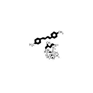 CC=C(C)C=[CH][Ti+3].C[N-]C.C[N-]C.C[N-]C.Cc1ccc(C=CC=Cc2ccc(C)cc2)cc1